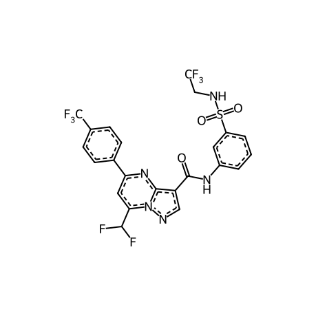 O=C(Nc1cccc(S(=O)(=O)NCC(F)(F)F)c1)c1cnn2c(C(F)F)cc(-c3ccc(C(F)(F)F)cc3)nc12